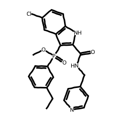 CCc1cccc(P(=O)(OC)c2c(C(=O)NCc3ccncc3)[nH]c3ccc(Cl)cc23)c1